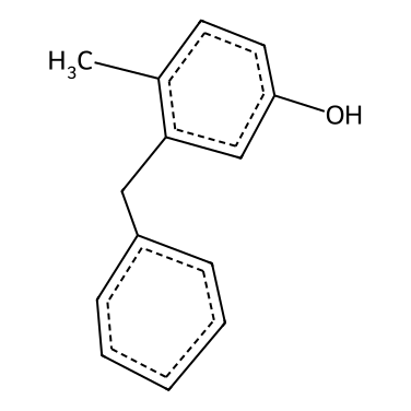 Cc1ccc(O)cc1Cc1ccccc1